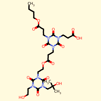 CCCCOC(=O)CCn1c(=O)n(CCC(=O)O)c(=O)n(CCC(=O)OCCn2c(=O)n(CCO)c(=O)n(CC(C)(C)O)c2=O)c1=O